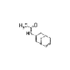 CC(=O)NC1CC2C=CCC(C2)C1